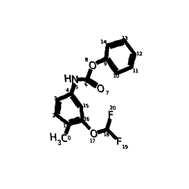 Cc1ccc(NC(=O)Oc2ccccc2)cc1OC(F)F